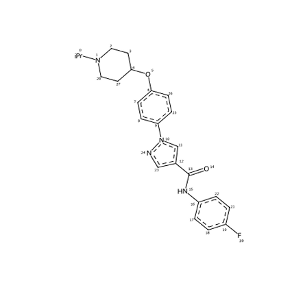 CC(C)N1CCC(Oc2ccc(-n3cc(C(=O)Nc4ccc(F)cc4)cn3)cc2)CC1